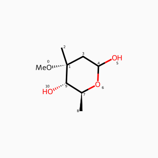 CO[C@]1(C)CC(O)O[C@@H](C)[C@@H]1O